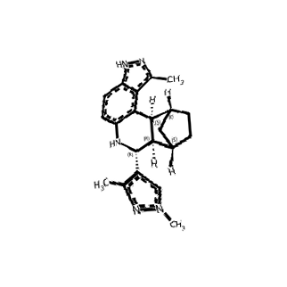 Cc1nn(C)cc1[C@@H]1Nc2ccc3[nH]nc(C)c3c2[C@H]2[C@@H]3CC[C@@H](C3)[C@H]21